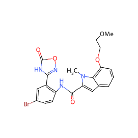 COCCOc1cccc2cc(C(=O)Nc3ccc(Br)cc3-c3noc(=O)[nH]3)n(C)c12